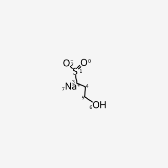 O=S([O-])CCCO.[Na+]